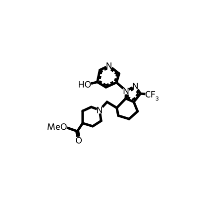 COC(=O)C1CCN(CC2CCCc3c(C(F)(F)F)nn(-c4cncc(O)c4)c32)CC1